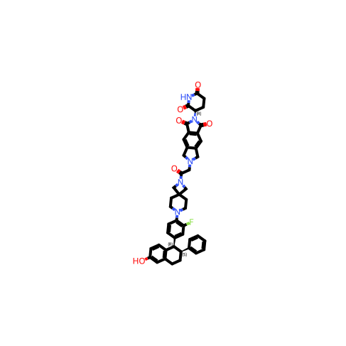 O=C1CC[C@@H](N2C(=O)c3cc4c(cc3C2=O)CN(CC(=O)N2CC3(CCN(c5ccc([C@@H]6c7ccc(O)cc7CC[C@@H]6c6ccccc6)cc5F)CC3)C2)C4)C(=O)N1